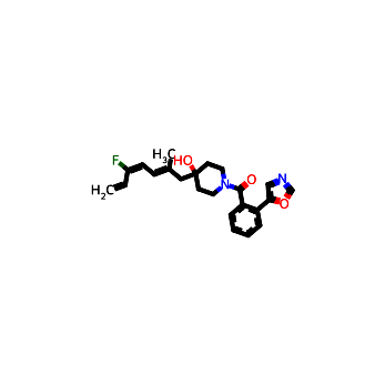 C=C/C(F)=C\C=C(/C)CC1(O)CCN(C(=O)c2ccccc2-c2cnco2)CC1